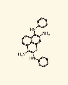 NC1=C(Nc2ccccc2)Cc2cc(N)c(Nc3ccccc3)c3cccc1c23